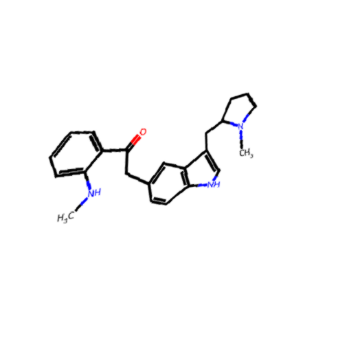 CNc1ccccc1C(=O)Cc1ccc2[nH]cc(CC3CCCN3C)c2c1